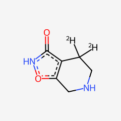 [2H]C1([2H])CNCc2o[nH]c(=O)c21